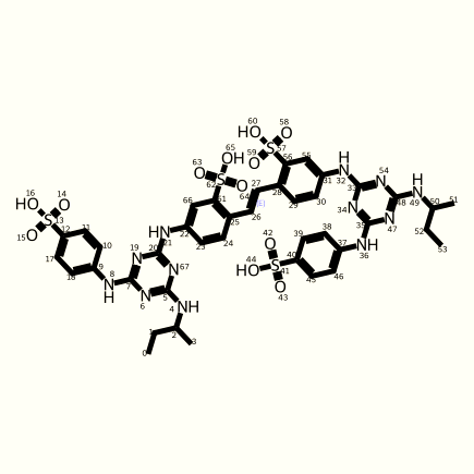 CCC(C)Nc1nc(Nc2ccc(S(=O)(=O)O)cc2)nc(Nc2ccc(/C=C/c3ccc(Nc4nc(Nc5ccc(S(=O)(=O)O)cc5)nc(NC(C)CC)n4)cc3S(=O)(=O)O)c(S(=O)(=O)O)c2)n1